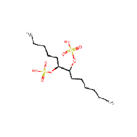 CCCCCCC(OS(=O)(=O)O)C(CCCCC)OS(=O)(=O)O